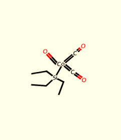 CC[Si](CC)(CC)[Co](=[C]=O)(=[C]=O)=[C]=O